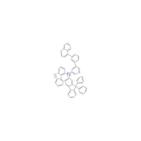 c1ccc(C2(c3ccccc3)c3ccccc3-c3ccc(N(c4cccc(-c5cccc(-c6cccc7ccccc67)c5)c4)c4cccc5sc6ccccc6c45)cc32)cc1